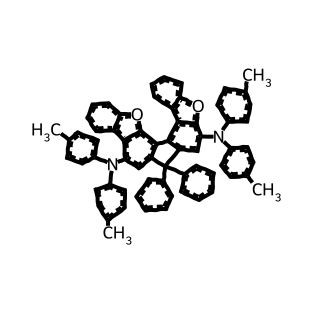 Cc1ccc(N(c2ccc(C)cc2)c2cc3c(c4c2oc2ccccc24)-c2c(cc(N(c4ccc(C)cc4)c4ccc(C)cc4)c4c2oc2ccccc24)C3(c2ccccc2)c2ccccc2)cc1